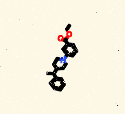 CCOC(=O)c1cccc(N2CCC(C(C)c3ccccc3)CC2)c1